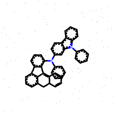 C1=CC2=C3c4c(cccc4-c4cccc(N(c5ccccc5)c5ccc6c7ccccc7n(-c7ccccc7)c6c5)c43)CC2C=C1